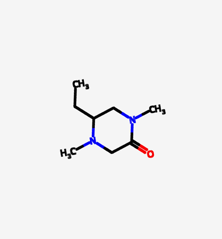 CCC1CN(C)C(=O)CN1C